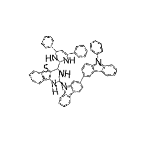 C1=C(c2ccccc2)NC(C2NC(n3c4ccccc4c4ccc(-c5ccc6c(c5)c5ccccc5n6-c5ccccc5)cc43)Nc3c2sc2ccccc32)NC1c1ccccc1